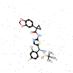 CC(C)(C)[S@@+]([O-])N[C@H](c1cnc(NC(=O)C2(c3ccc4c(c3)OCO4)CC2)s1)c1ccc(F)cc1Cl